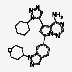 Nc1ncnn2c(-c3ccc4cnn(C5CCOCC5)c4c3)cc(-c3cnnn3C3CCCCC3)c12